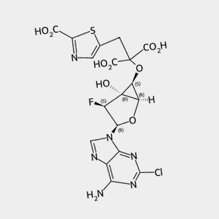 Nc1nc(Cl)nc2c1ncn2[C@@H]1O[C@@H]2[C@H](OC(Cc3cnc(C(=O)O)s3)(C(=O)O)C(=O)O)[C@]2(O)[C@@H]1F